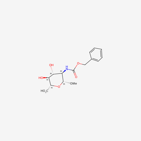 CO[C@@H]1O[C@H](C(=O)O)[C@@H](O)[C@H](O)[C@H]1NC(=O)OCc1ccccc1